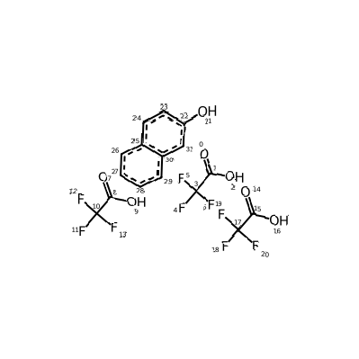 O=C(O)C(F)(F)F.O=C(O)C(F)(F)F.O=C(O)C(F)(F)F.Oc1ccc2ccccc2c1